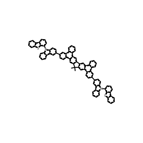 CC1(C)c2cc3c4ccc(-c5ccc6c(c5)c5ccccc5n6-c5cccc6c5sc5ccccc56)cc4c4ccccc4c3cc2-c2cc3c4ccccc4c4cc(-c5ccc6c(c5)c5ccccc5n6-c5cccc6c5sc5ccccc56)ccc4c3cc21